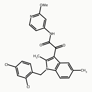 COc1cc(NC(=O)C(=O)c2c(C)n(Cc3ccc(Cl)cc3Cl)c3ccc(C)cc23)ccn1